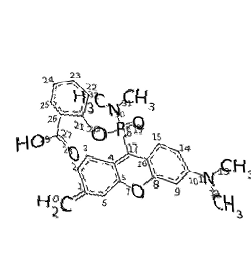 C=c1ccc2c(c1)Oc1cc(N(C)C)ccc1C=2P(=O)(Oc1ccccc1C(=O)O)N(C)C